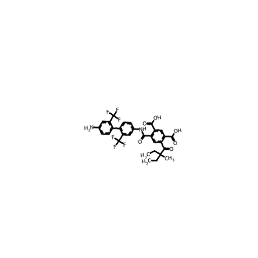 CCC(C)(CC)C(=O)c1cc(C(=O)Nc2ccc(-c3ccc(N)cc3C(F)(F)F)c(C(F)(F)F)c2)c(C(=O)O)cc1C(=O)O